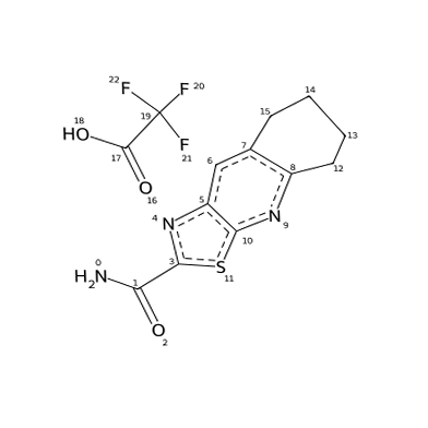 NC(=O)c1nc2cc3c(nc2s1)CCCC3.O=C(O)C(F)(F)F